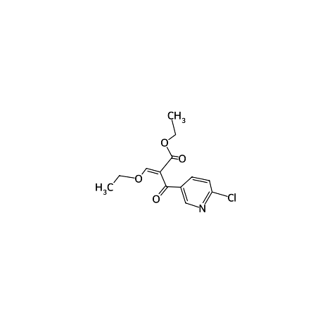 CCO/C=C(/C(=O)OCC)C(=O)c1ccc(Cl)nc1